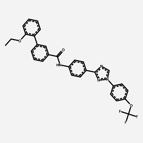 CCOc1ccccc1-c1cccc(C(=O)Nc2ccc(-c3ncn(-c4ccc(OC(F)(F)F)cc4)n3)cc2)c1